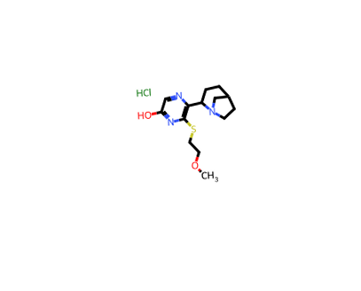 COCCSc1nc(O)cnc1C1CCC2CCN1C2.Cl